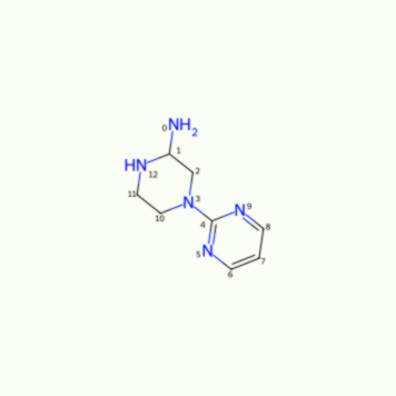 NC1CN(c2ncccn2)CCN1